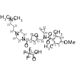 COc1cc(C)c(S(=O)(=O)N(Cc2cc(C(=O)N3CCN(CCCN(C)C)CC3)co2)C2CC2)c(C)c1.O=C(O)C(F)(F)F